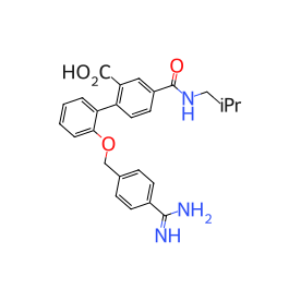 CC(C)CNC(=O)c1ccc(-c2ccccc2OCc2ccc(C(=N)N)cc2)c(C(=O)O)c1